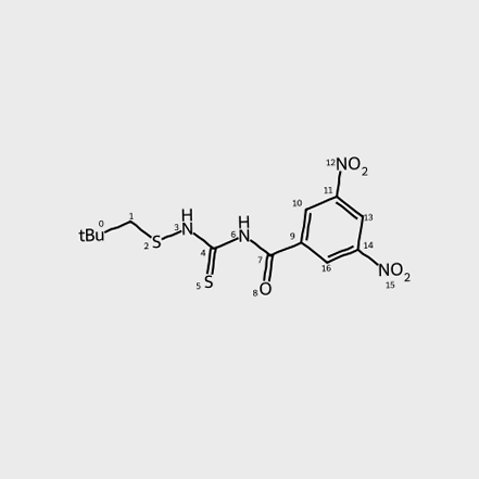 CC(C)(C)CSNC(=S)NC(=O)c1cc([N+](=O)[O-])cc([N+](=O)[O-])c1